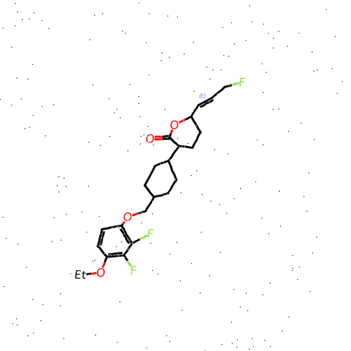 CCOc1ccc(OCC2CCC(C3CCC(/C=C/CF)OC3=O)CC2)c(F)c1F